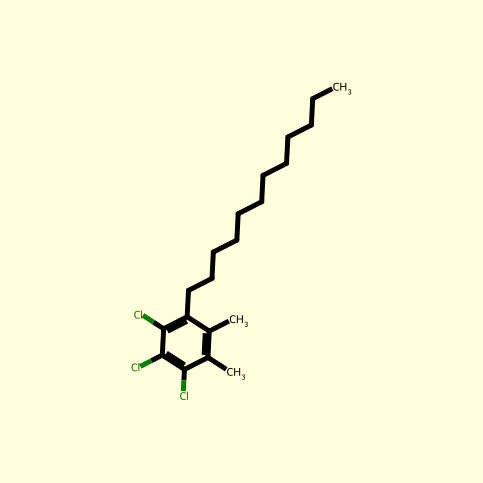 CCCCCCCCCCCCc1c(C)c(C)c(Cl)c(Cl)c1Cl